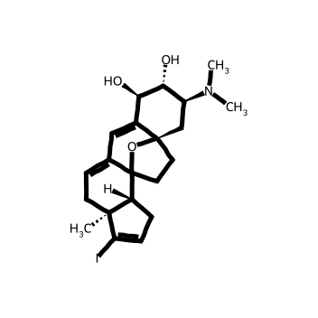 CN(C)[C@H]1C[C@@]23CCC4(O2)C(=CC[C@]2(C)C(I)=CC[C@@H]42)C=C3[C@@H](O)[C@@H]1O